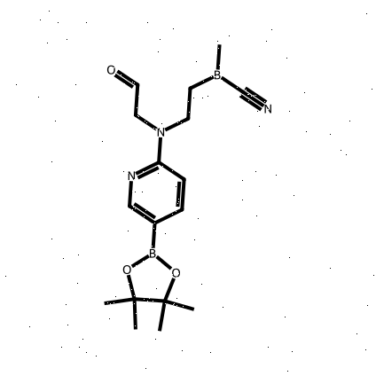 CB(C#N)CCN(CC=O)c1ccc(B2OC(C)(C)C(C)(C)O2)cn1